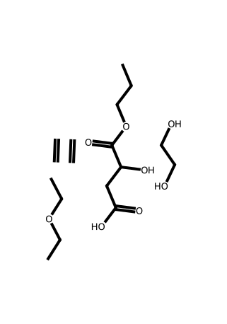 C=C.C=C.CCCOC(=O)C(O)CC(=O)O.CCOCC.OCCO